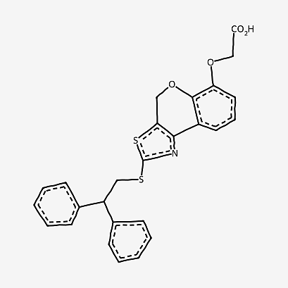 O=C(O)COc1cccc2c1OCc1sc(SCC(c3ccccc3)c3ccccc3)nc1-2